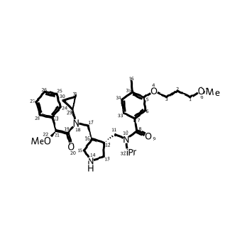 COCCCOc1cc(C(=O)N(C[C@@H]2CNC[C@H]2CN(C(=O)[C@@H](OC)c2ccccc2)C2CC2)C(C)C)ccc1C